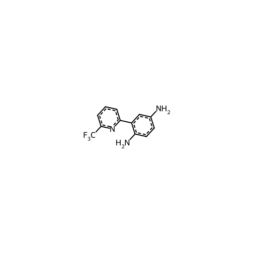 Nc1ccc(N)c(-c2cccc(C(F)(F)F)n2)c1